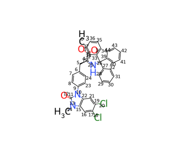 COC(=O)[C@H](Cc1ccc(-n2c(=O)n(C)c3cc(Cl)c(Cl)cc32)cc1)NC(c1ccccc1)(c1ccccc1)c1ccccc1